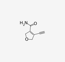 C#CC1=C(C(N)=O)COC1